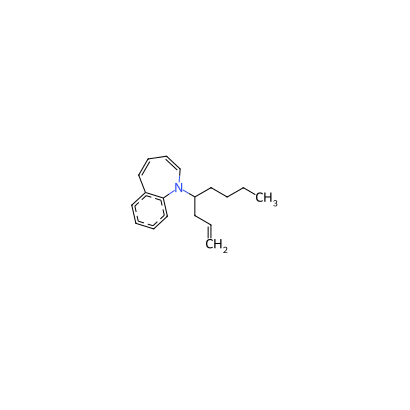 C=CCC(CCCC)N1C=CC=Cc2ccccc21